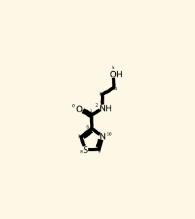 O=C(NCCO)c1cscn1